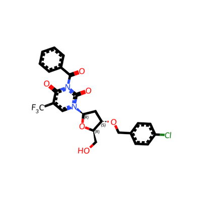 O=C(c1ccccc1)n1c(=O)c(C(F)(F)F)cn([C@H]2C[C@H](OCc3ccc(Cl)cc3)[C@@H](CO)O2)c1=O